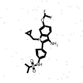 CC(C)S(=O)(=O)Nc1ccc(-c2c(N)c3ccc(OC(F)F)cc3n2CC2CC2)cc1